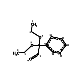 CCOC(OCC)(P=O)c1cc[c]nc1